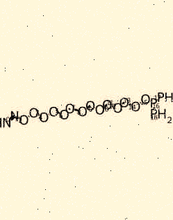 N=NOOOOOOOOOOOOOOP(P)P